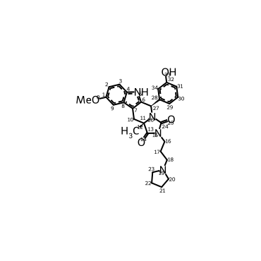 COc1ccc2[nH]c3c(c2c1)C[C@@]1(C)C(=O)N(CCCN2CCCC2)C(=O)N1[C@@H]3c1cccc(O)c1